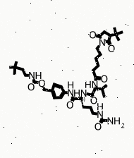 CC(C)[C@H](NC(=O)CCCCCN1C(=O)CC(C(C)(C)C)C1=O)C(=O)N[C@@H](CCCNC(N)=O)C(=O)Nc1ccc(COC(=O)NCCC(C)(C)C)cc1